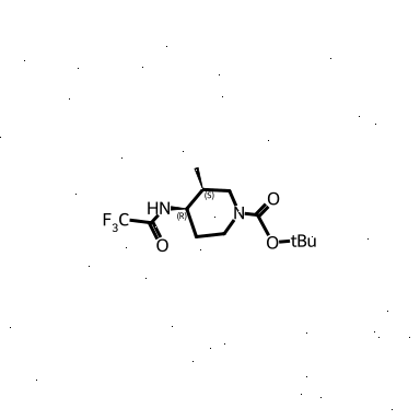 C[C@H]1CN(C(=O)OC(C)(C)C)CC[C@H]1NC(=O)C(F)(F)F